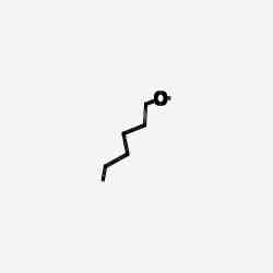 CCCCCC[O]